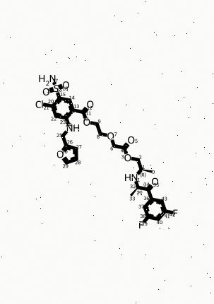 C[C@H](COC(=O)COCCOC(=O)c1cc(S(N)(=O)=O)c(Cl)cc1NCc1ccco1)N[C@H](C)C(=O)c1cc(F)cc(F)c1